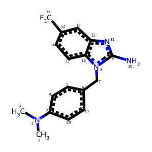 CN(C)c1ccc(Cn2c(N)nc3cc(C(F)(F)F)ccc32)cc1